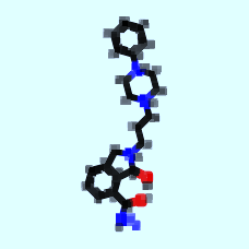 NC(=O)c1cccc2c1C(=O)N(CCCN1CCN(c3ccccc3)CC1)C2